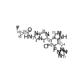 O=C(Nc1cn2cc(-c3c(Cl)c(F)c(Cn4ncnn4)c4[nH]ncc34)ncc2n1)C1CC1F